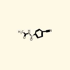 CC(=O)N[S+]([O-])c1ccc(C#N)cc1